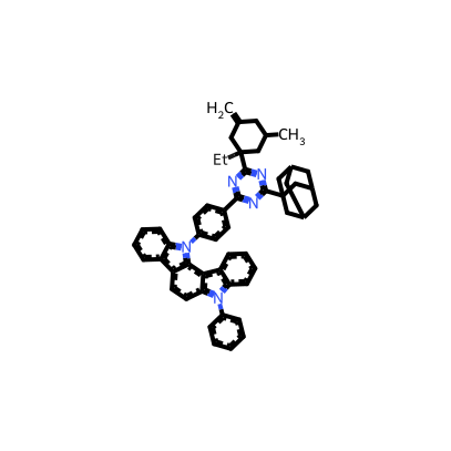 C=C1CC(C)CC(CC)(c2nc(-c3ccc(-n4c5ccccc5c5ccc6c(c7ccccc7n6-c6ccccc6)c54)cc3)nc(C34CC5CC(CC(C5)C3)C4)n2)C1